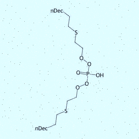 CCCCCCCCCCCCSCCOOP(=O)(O)OOCCSCCCCCCCCCCCC